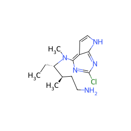 CC[C@@H]([C@H](C)CCN)N(C)c1nc(Cl)nc2[nH]ccc12